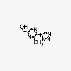 Cc1nc(CO)cnc1-n1cnnn1